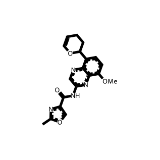 COc1ccc(C2CCC=CO2)c2ncc(NC(=O)c3coc(C)n3)nc12